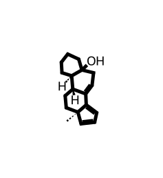 C[C@@]12C=CC=C1C1=CCC3(O)CCCC[C@@H]3[C@H]1CC2